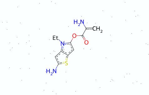 C=C(N)C(=O)Oc1cc2sc(N)cc2n1CC